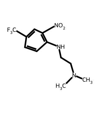 CN(C)CCNc1ccc(C(F)(F)F)cc1[N+](=O)[O-]